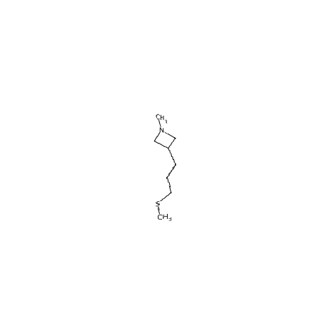 CSCCCC1CN(C)C1